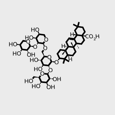 CC1(C)CC[C@]2(C(=O)O)CC[C@]3(C)C(=CC[C@@H]4[C@@]5(C)CC[C@H](O[C@@H]6O[C@H](CO[C@@H]7OC[C@H](O)[C@H](O)[C@H]7O[C@@H]7OC[C@H](O)[C@H](O)[C@H]7O)[C@@H](O)[C@H](O)[C@H]6O[C@@H]6O[C@H](CO)[C@@H](O)[C@H](O)[C@H]6O)C(C)(C)[C@@H]5CC[C@]43C)[C@@H]2C1